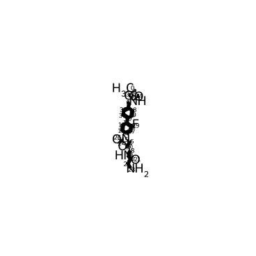 CCS(=O)(=O)NCc1ccc(-c2ccc(N3C[C@H](CNC(=O)CN)OC3=O)cc2F)cc1